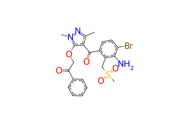 Cc1nn(C)c(OCC(=O)c2ccccc2)c1C(=O)c1ccc(Br)c(N)c1CS(C)(=O)=O